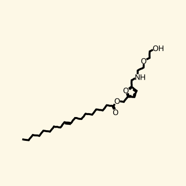 CCCCCCCCC=CCCCCCCCC(=O)OCc1ccc(CNCCOCCO)o1